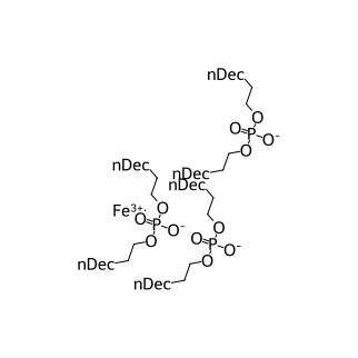 CCCCCCCCCCCCOP(=O)([O-])OCCCCCCCCCCCC.CCCCCCCCCCCCOP(=O)([O-])OCCCCCCCCCCCC.CCCCCCCCCCCCOP(=O)([O-])OCCCCCCCCCCCC.[Fe+3]